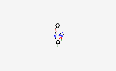 CC(NCCOCc1ccccc1)C(O)(Cn1cncn1)c1ccc(F)cc1F